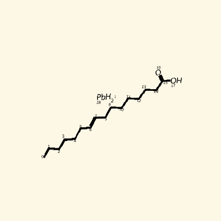 CCCCCCC=CCCCCCCCC(=O)O.[PbH2]